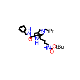 CC(C)CN1CC2CC3(C(=O)NCc4ccccc4)NCC2C1C3CCCCNC(=O)OC(C)(C)C